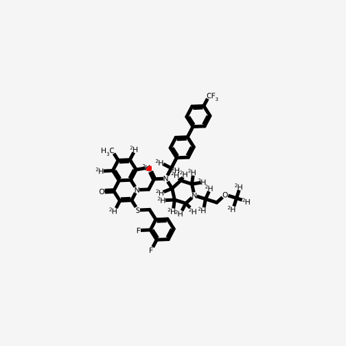 [2H]c1c(C)c([2H])c2c(=O)c([2H])c(SCc3cccc(F)c3F)n(CC(=O)N(C([2H])([2H])c3ccc(-c4ccc(C(F)(F)F)cc4)cc3)C3([2H])C([2H])([2H])C([2H])([2H])N(C([2H])([2H])COC([2H])([2H])[2H])C([2H])([2H])C3([2H])[2H])c2c1[2H]